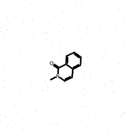 Cn1[c]cc2ccccc2c1=O